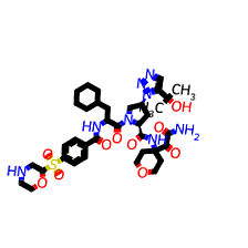 CC(C)(O)c1cnnn1[C@H]1C[C@@H](C(=O)NC2(C(=O)C(N)=O)CCOCC2)N(C(=O)C(CC2CCCCC2)NC(=O)c2ccc(S(=O)(=O)C3CNCCO3)cc2)C1